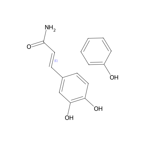 NC(=O)/C=C/c1ccc(O)c(O)c1.Oc1ccccc1